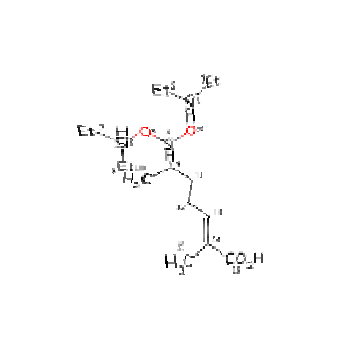 CC[SiH](CC)O[SiH](O[SiH](CC)CC)C(C)CCC=C(C)C(=O)O